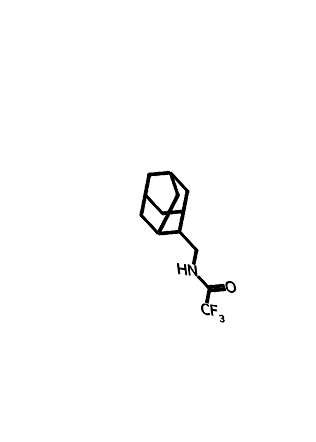 O=C(NCC1C2CC3CC(C2)CC1C3)C(F)(F)F